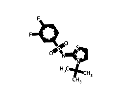 CC(C)(C)n1ccsc1=NS(=O)(=O)c1ccc(F)c(F)c1